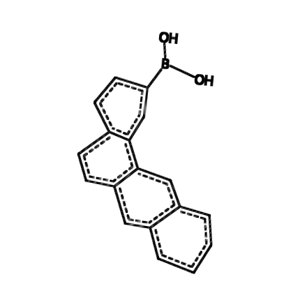 OB(O)c1ccc2ccc3cc4ccccc4cc3c2c1